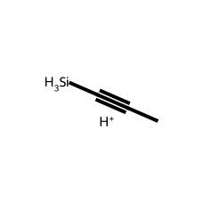 CC#C[SiH3].[H+]